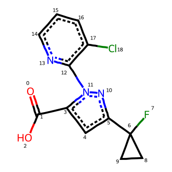 O=C(O)c1cc(C2(F)CC2)nn1-c1ncccc1Cl